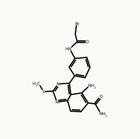 CSc1nc(-c2cccc(NC(=O)CBr)c2)c2c(N)c(C(N)=O)ccc2n1